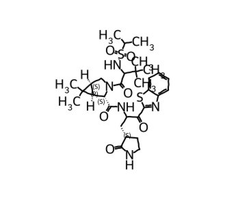 CC(C)S(=O)(=O)NC(C(=O)N1C[C@H]2[C@@H]([C@H]1C(=O)NC(C[C@@H]1CCNC1=O)C(=O)c1nc3ccccc3s1)C2(C)C)C(C)(C)C